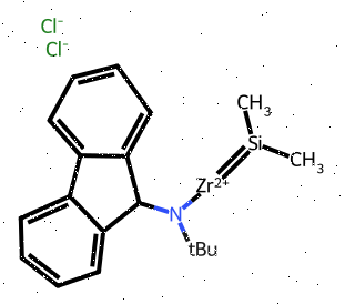 C[Si](C)=[Zr+2][N](C1c2ccccc2-c2ccccc21)C(C)(C)C.[Cl-].[Cl-]